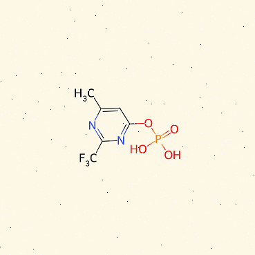 Cc1cc(OP(=O)(O)O)nc(C(F)(F)F)n1